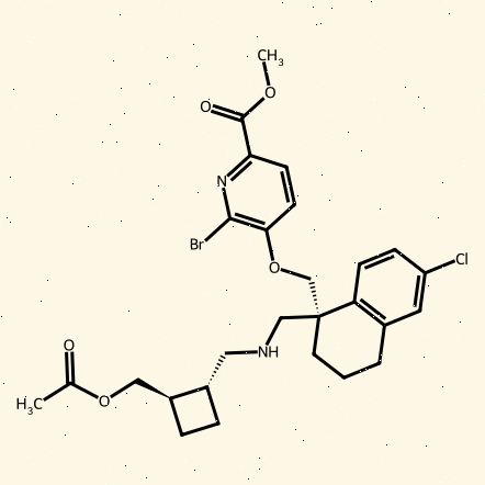 COC(=O)c1ccc(OC[C@@]2(CNC[C@@H]3CC[C@H]3COC(C)=O)CCCc3cc(Cl)ccc32)c(Br)n1